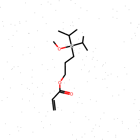 C=CC(=O)OCCC[Si](OC)(C(C)C)C(C)C